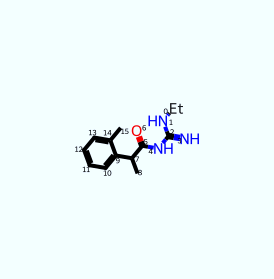 CCNC(=N)NC(=O)C(C)c1ccccc1C